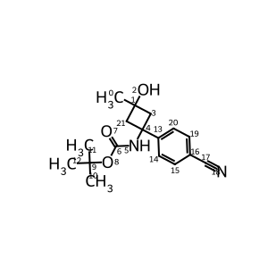 CC1(O)CC(NC(=O)OC(C)(C)C)(c2ccc(C#N)cc2)C1